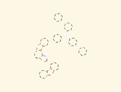 c1ccc(-c2ccc(N(c3ccc(-c4ccc5oc6ccc7oc(-c8cccc9oc%10ccccc%10c89)nc7c6c5c4)cc3)c3cccc(-c4ccccc4)c3)cc2)cc1